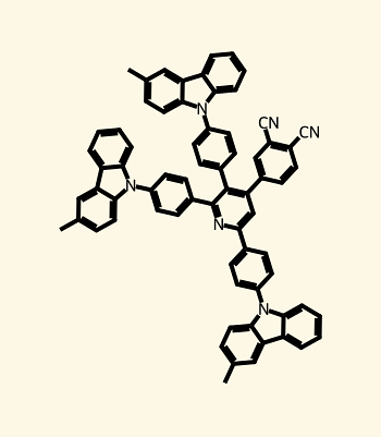 Cc1ccc2c(c1)c1ccccc1n2-c1ccc(-c2cc(-c3ccc(C#N)c(C#N)c3)c(-c3ccc(-n4c5ccccc5c5cc(C)ccc54)cc3)c(-c3ccc(-n4c5ccccc5c5cc(C)ccc54)cc3)n2)cc1